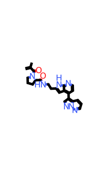 C=C(C)C(=O)N1CCCC1C(=O)NCCc1cc2c(-c3cnn4ncccc34)ccnc2[nH]1